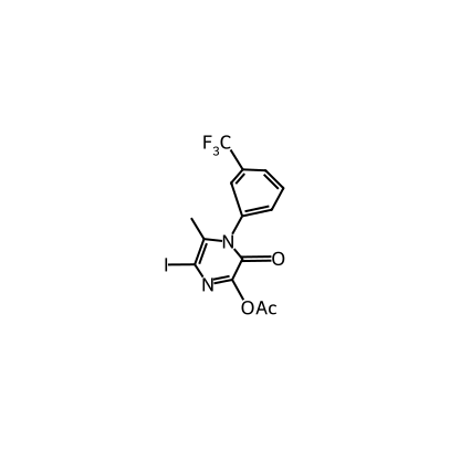 CC(=O)Oc1nc(I)c(C)n(-c2cccc(C(F)(F)F)c2)c1=O